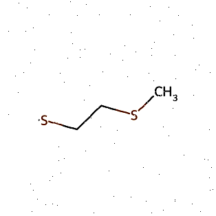 CSCC[S]